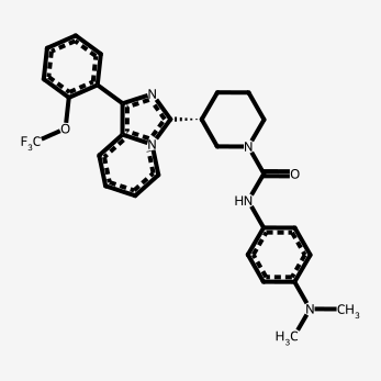 CN(C)c1ccc(NC(=O)N2CCC[C@@H](c3nc(-c4ccccc4OC(F)(F)F)c4ccccn34)C2)cc1